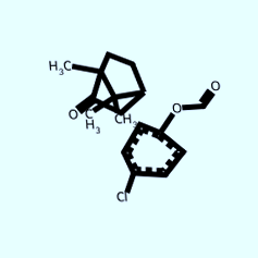 CC12CCC(CC1=O)C2(C)C.O=COc1ccc(Cl)cc1